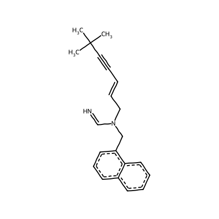 CC(C)(C)C#C/C=C/CN(C=N)Cc1cccc2ccccc12